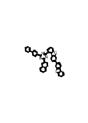 C1=CC2Sc3cc(-c4ccc5c(c4)oc4cccc(-c6nc(-c7ccc(-c8ccccc8)cc7)nc(-c7ccc8ccccc8c7)n6)c45)ccc3C2C=C1